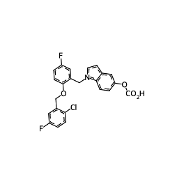 O=C(O)Oc1ccc2c(ccn2Cc2cc(F)ccc2OCc2cc(F)ccc2Cl)c1